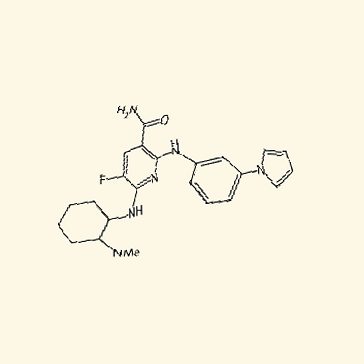 CNC1CCCCC1Nc1nc(Nc2cccc(-n3cccc3)c2)c(C(N)=O)cc1F